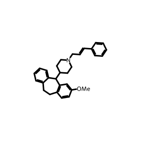 COc1ccc2c(c1)C(C1CCN(C/C=C/c3ccccc3)CC1)c1ccccc1CC2